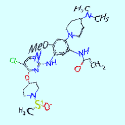 C=CC(=O)Nc1cc(Nc2ncc(Cl)c(OC3CCN([S+](C)[O-])CC3)n2)c(OC)cc1N1CCC(N(C)C)CC1